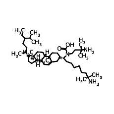 CCC(CCC(C)[C@H]1CC[C@H]2[C@@H]3CC=C4C[C@@H](C(CCCCCCC(C)(C)N)N(CCC(C)(C)N)C(=O)O)CC[C@]4(C)[C@H]3CC[C@]12C)C(C)C